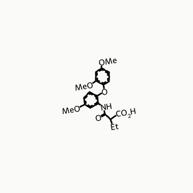 CCC(C(=O)O)C(=O)Nc1cc(OC)ccc1Oc1ccc(OC)cc1OC